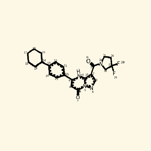 O=C(c1cnn2c(=O)cc(-c3ccc(C4CCCCC4)cc3)[nH]c12)N1CCC(F)(F)C1